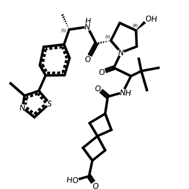 Cc1ncsc1-c1ccc([C@H](C)NC(=O)[C@@H]2C[C@@H](O)CN2C(=O)C(NC(=O)C2CC3(CC(C(=O)O)C3)C2)C(C)(C)C)cc1